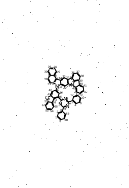 c1ccc(-c2nc(-c3ccccc3)nc(-c3cc(-n4c5cc6c(cc5c5c7ccccc7ccc54)c4cccc5c7ccccc7n6c54)cc4oc5ccccc5c34)n2)cc1